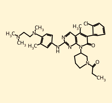 CCC(=O)N1CCCC(n2c(=O)c(-c3ccccc3Cl)c(C)c3cnc(Nc4ccc(N(C)CCN(C)C)c(C)c4)nc32)C1